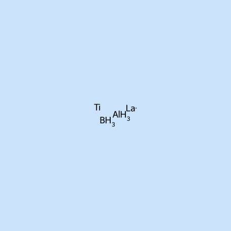 B.[AlH3].[La].[Ti]